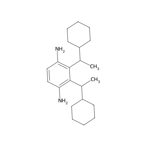 CC(c1c(N)ccc(N)c1C(C)C1CCCCC1)C1CCCCC1